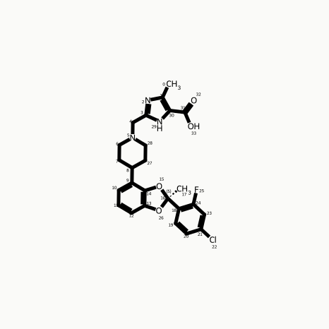 Cc1nc(CN2CCC(c3cccc4c3O[C@@](C)(c3ccc(Cl)cc3F)O4)CC2)[nH]c1C(=O)O